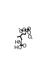 COOP(=O)(CCC(C)CNC(=O)O)OOC